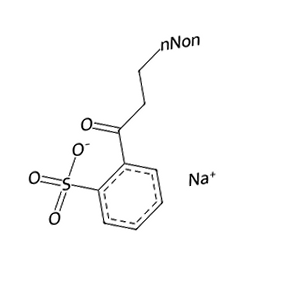 CCCCCCCCCCCC(=O)c1ccccc1S(=O)(=O)[O-].[Na+]